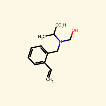 C=Cc1ccccc1CN(CO)C(C)C(=O)O